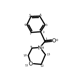 O=C(c1c[c][c]cc1)N1CCOCC1